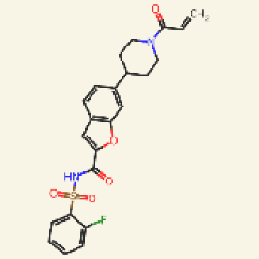 C=CC(=O)N1CCC(c2ccc3cc(C(=O)NS(=O)(=O)c4ccccc4F)oc3c2)CC1